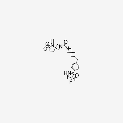 N=S(=O)(c1ccc(CC2CC3(C2)CN(C(=O)N2CC4(CCS(=O)(=O)N4)C2)C3)cc1)C(F)(F)F